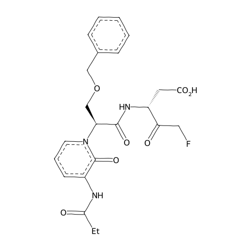 CCC(=O)Nc1cccn([C@@H](COCc2ccccc2)C(=O)N[C@H](CC(=O)O)C(=O)CF)c1=O